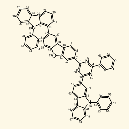 c1ccc(-c2nc(-c3ccc4c(c3)oc3ccc(-c5cccc6c7ccccc7n(-c7ccccc7)c56)cc34)nc(-c3ccc4c5ccccc5n(-c5ccccc5)c4c3)n2)cc1